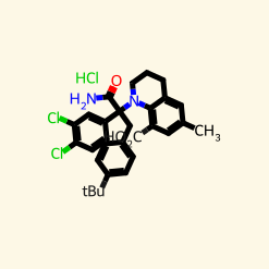 Cc1cc2c(c(C(=O)O)c1)N(C(Cc1ccc(C(C)(C)C)cc1)(C(N)=O)c1ccc(Cl)c(Cl)c1)CCC2.Cl